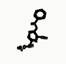 COc1nc(NC(=O)O)cnc1CNc1ccccc1